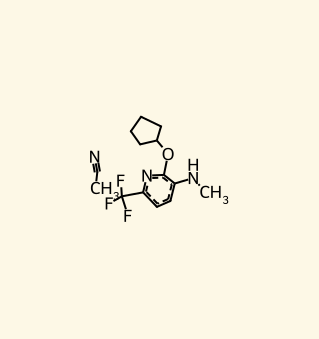 CC#N.CNc1ccc(C(F)(F)F)nc1OC1CCCC1